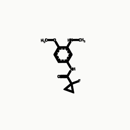 CNc1cc(NC(=O)C2(F)CC2)ccc1OC